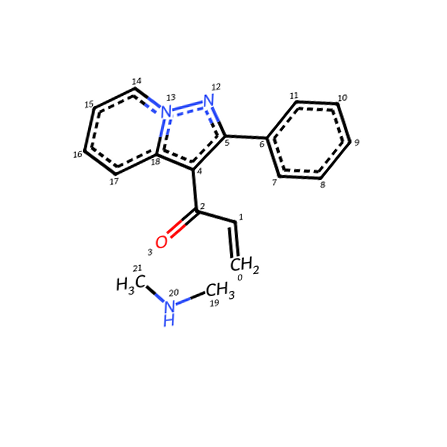 C=CC(=O)c1c(-c2ccccc2)nn2ccccc12.CNC